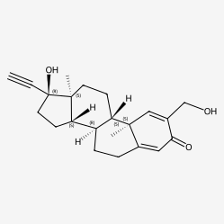 C#C[C@@]1(O)CC[C@H]2[C@@H]3CCC4=CC(=O)C(CO)=C[C@]4(C)[C@H]3CC[C@@]21C